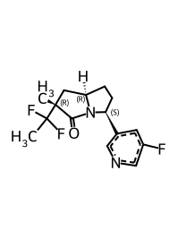 CC(F)(F)[C@]1(C)C[C@H]2CC[C@@H](c3cncc(F)c3)N2C1=O